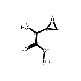 CC(C(=O)OC(C)(C)C)C1CO1